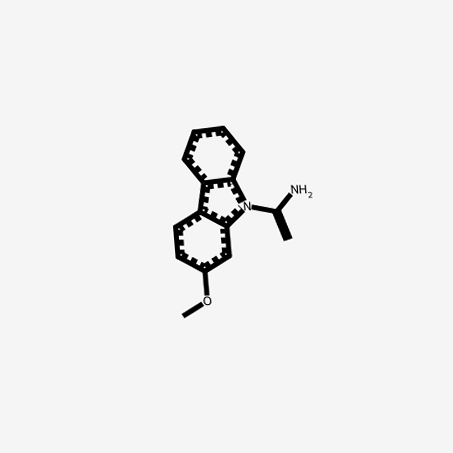 C=C(N)n1c2ccccc2c2ccc(OC)cc21